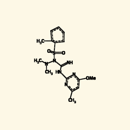 COc1cc(C)nc(NC(=N)N(N(C)C)S(=O)(=O)c2ccccc2C)n1